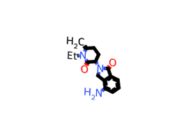 C=C1CCC(N2Cc3c(N)cccc3C2=O)C(=O)N1CC